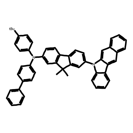 CC(C)(C)c1ccc(N(c2ccc(-c3ccccc3)cc2)c2ccc3c(c2)C(C)(C)c2cc(-n4c5ccccc5c5cc6ccccc6cc54)ccc2-3)cc1